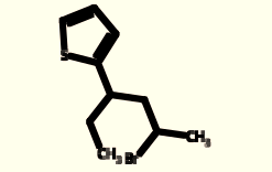 CCC(CC(C)Br)c1cccs1